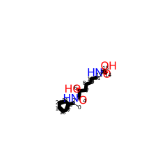 C[C@@H](NC(=O)C(O)CCCCCNC(=O)O)c1ccccc1